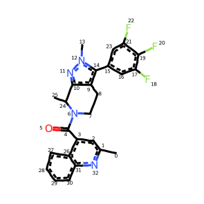 Cc1cc(C(=O)N2CCc3c(nn(C)c3-c3cc(F)c(F)c(F)c3)C2C)c2ccccc2n1